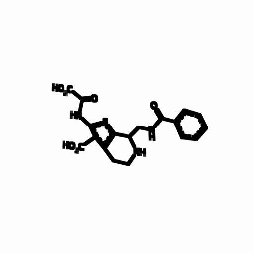 O=C(O)C(=O)Nc1sc2c(c1C(=O)O)CCNC2CNC(=O)c1ccccc1